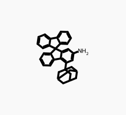 Nc1cc(C23CC4CC(CC(C4)C2)C3)c2c(c1)C1(c3ccccc3-c3ccccc31)c1ccccc1-2